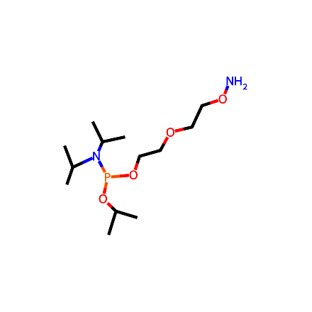 CC(C)OP(OCCOCCON)N(C(C)C)C(C)C